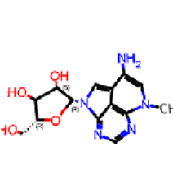 CN1C=C(N)c2cn([C@@H]3O[C@H](CO)C(O)[C@@H]3O)c3ncnc1c23